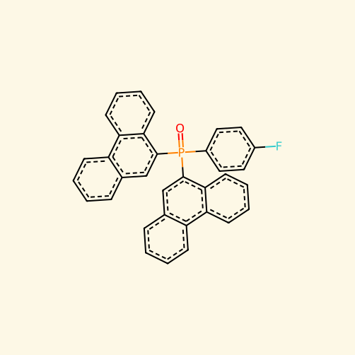 O=P(c1ccc(F)cc1)(c1cc2ccccc2c2ccccc12)c1cc2ccccc2c2ccccc12